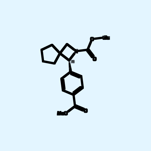 COC(=O)c1ccc([C@H]2N(C(=O)OC(C)(C)C)CC23CCCC3)cc1